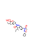 CCC(Cc1cccc(NC(=O)C(c2ccc(CN3N=C(c4ccccc4)OCC3=O)cc2)C(C)CC)c1)C(=O)O